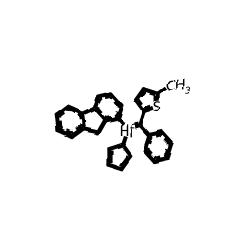 Cc1ccc([C](c2ccccc2)=[Hf]([c]2cccc3c2Cc2ccccc2-3)[CH]2C=CC=C2)s1